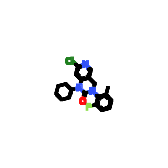 Cc1cccc(F)c1N1Cc2cnc(Cl)cc2N(C2CCCCC2)C1=O